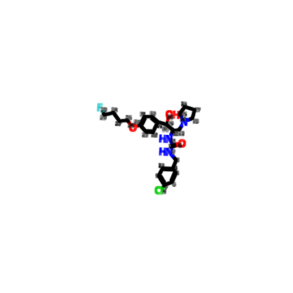 O=C(NCc1ccc(Cl)cc1)N[C@H](CN1CCCC1)[C@H](O)c1ccc(OCCCCF)cc1